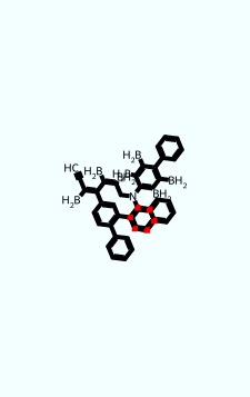 B/C(CN(c1c(B)c(B)c(-c2ccccc2)c(B)c1B)c1cccc2ccccc12)=C(B)/C(=C(/B)C#C)c1ccc(-c2ccccc2)c(-c2ccccc2)c1